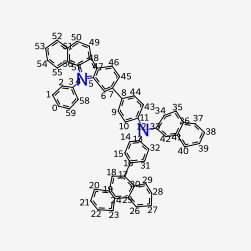 c1ccc(-n2c3cc(-c4ccc(N(c5ccc(-c6cc7ccccc7c7ccccc67)cc5)c5ccc6ccccc6c5)cc4)ccc3c3ccc4ccccc4c32)cc1